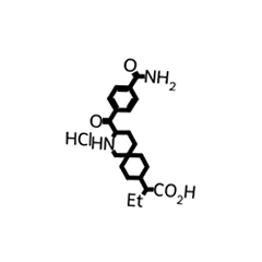 CCC(C(=O)O)C1CCC2(CCC(C(=O)c3ccc(C(N)=O)cc3)NC2)CC1.Cl